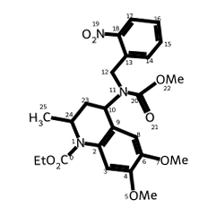 CCOC(=O)N1c2cc(OC)c(OC)cc2C(N(Cc2ccccc2[N+](=O)[O-])C(=O)OC)CC1C